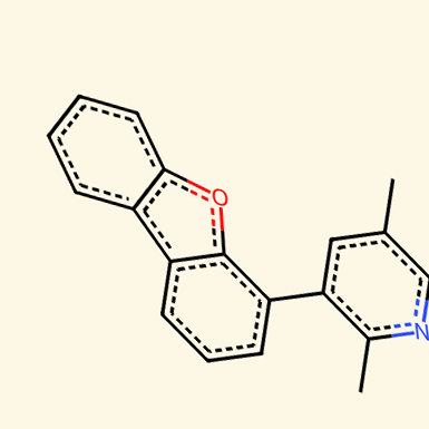 Cc1cnc(C)c(-c2cccc3c2oc2ccccc23)c1